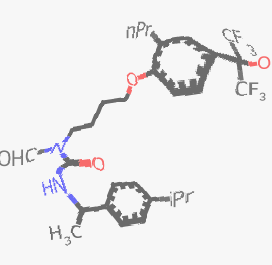 CCCc1cc(C(O)(C(F)(F)F)C(F)(F)F)ccc1OCCCCN(C=O)C(=O)NC(C)c1ccc(C(C)C)cc1